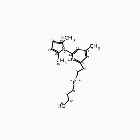 Cc1cc(CCCCCCCO)nc(-n2c(C)ccc2C)c1